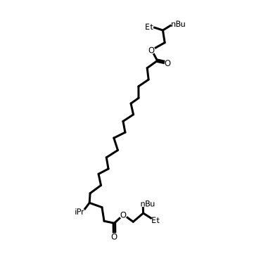 CCCCC(CC)COC(=O)CCCCCCCCCCCCCCCC(CCC(=O)OCC(CC)CCCC)C(C)C